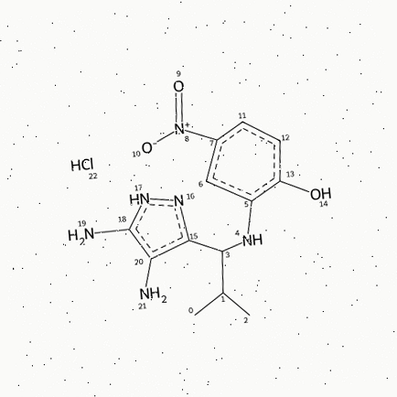 CC(C)C(Nc1cc([N+](=O)[O-])ccc1O)c1n[nH]c(N)c1N.Cl